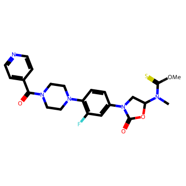 COC(=S)N(C)C1CN(c2ccc(N3CCN(C(=O)c4ccncc4)CC3)c(F)c2)C(=O)O1